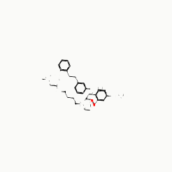 COc1cccc(CCc2ccccc2OC[C@@H](CN(C)C)OC(=O)CCC(=O)N2CC[C@@]34CCCC[C@@H]3C2Cc2ccc(OC)cc24)c1